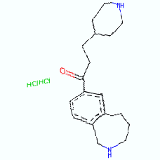 Cl.Cl.O=C(CCC1CCNCC1)c1ccc2c(c1)CCCNC2